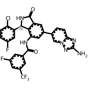 Nc1nc2ccc(-c3cc(NC(=O)c4cc(F)cc(C(F)(F)F)c4)c4c(c3)C(=O)N[C@@H]4c3cc(F)ccc3Cl)cn2n1